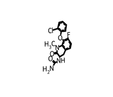 CN1C(=O)[C@H](NC(N)=O)Cc2ccc(F)c(Oc3ccccc3Cl)c21